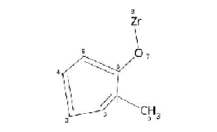 Cc1ccccc1[O][Zr]